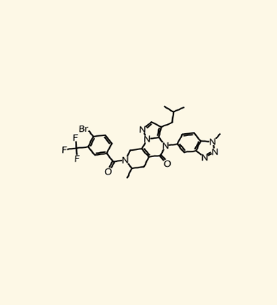 CC(C)Cc1cnn2c3c(c(=O)n(-c4ccc5c(c4)nnn5C)c12)CC(C)N(C(=O)c1ccc(Br)c(C(F)(F)F)c1)C3